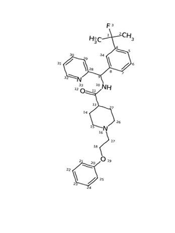 CC(C)(F)c1cccc(C(NC(=O)C2CCN(CCOc3ccccc3)CC2)c2ccccn2)c1